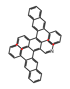 c1ccc(-c2cc3ccccc3cc2-c2c3ccccc3c(-c3cc4ccccc4cc3-c3ccccc3)c3cnccc23)cc1